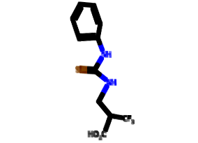 O=C(O)C(CNC(=S)Nc1ccccc1)C(F)(F)F